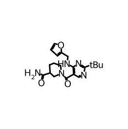 CC(C)(C)c1ncc(C(=O)N2CCCC(C(N)=O)C2)c(NCc2ccco2)n1